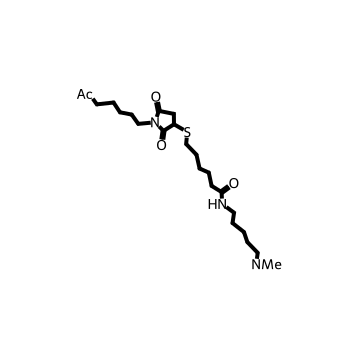 CNCCCCCNC(=O)CCCCCSC1CC(=O)N(CCCCCC(C)=O)C1=O